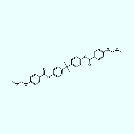 COCOc1ccc(C(=O)Oc2ccc(C(C)(C)c3ccc(OC(=O)c4ccc(OCOC)cc4)cc3)cc2)cc1